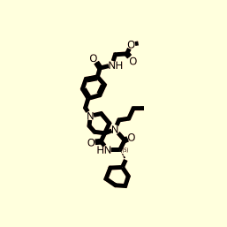 CCCCN1C(=O)[C@H](CC2CCCCC2)NC(=O)C12CCN(Cc1ccc(C(=O)NCC(=O)OC)cc1)CC2